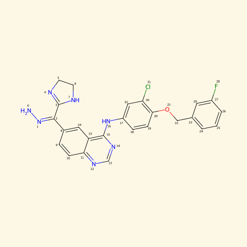 NN=C(C1=NCCN1)c1ccc2ncnc(Nc3ccc(OCc4cccc(F)c4)c(Cl)c3)c2c1